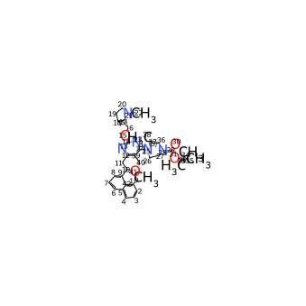 Cc1cccc2cccc(C3Cc4nc(OC[C@@H]5CCCN5C)nc(N5CCN(C(=O)OC(C)(C)C)C[C@@H]5C)c4CO3)c12